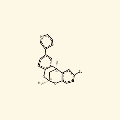 CCc1ccc2c(c1)[C@H]1C[C@@](C)(O2)Oc2ccc(-c3cccnc3)cc21